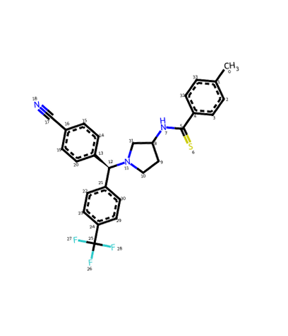 Cc1ccc(C(=S)NC2CCN([C@H](c3ccc(C#N)cc3)c3ccc(C(F)(F)F)cc3)C2)cc1